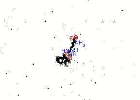 COC(=O)C(N)CCCNC(=N)NS(=O)(=O)c1c(C)c(C)c2c(c1C)CC(C)(C)CC2